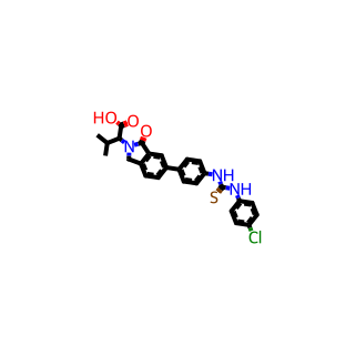 CC(C)C(C(=O)O)N1Cc2ccc(-c3ccc(NC(=S)Nc4ccc(Cl)cc4)cc3)cc2C1=O